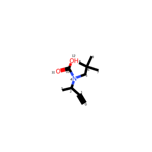 C#CC(C)N(CC(C)(C)C)C(=O)O